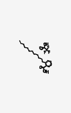 CCCCCCCCCCCCc1ccccc1C(=O)O.O=C(O)C(F)(F)F